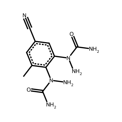 Cc1cc(C#N)cc(N(N)C(N)=O)c1N(N)C(N)=O